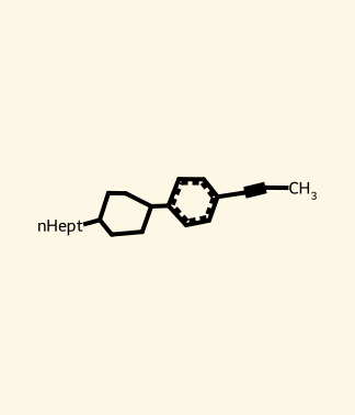 CC#Cc1ccc(C2CCC(CCCCCCC)CC2)cc1